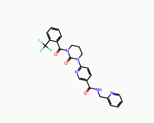 O=C(NCc1ccccn1)c1ccc(N2CCCN(C(=O)c3ccccc3C(F)(F)F)C2=O)nc1